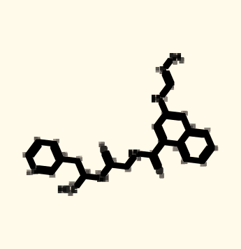 NN=CNc1cc(C(=O)NCC(=O)NC(Cc2cccnc2)C(=O)O)c2ccccc2c1